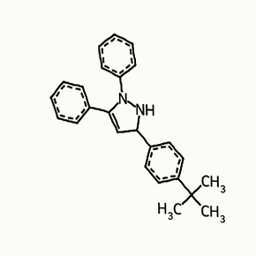 CC(C)(C)c1ccc(C2C=C(c3ccccc3)N(c3ccccc3)N2)cc1